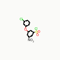 O=[N+]([O-])c1cc(Oc2cccc(Cl)c2)cc(S(=O)(=O)Cl)c1